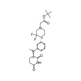 CN(c1cccc([C@H]2CCN(CC(=O)OC(C)(C)C)CC2(F)F)c1)[C@@H]1CCC(=O)NC1=O